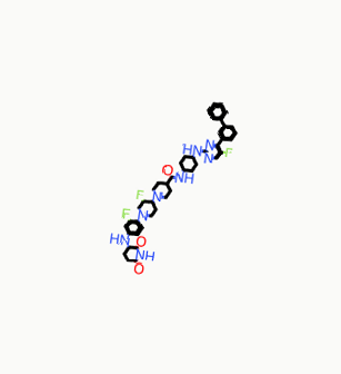 O=C1CCC(Nc2ccc(N3CCC(N4CCC(C(=O)NC5CCC(Nc6ncc(F)c(-c7cccc(-c8ccccc8)c7)n6)CC5)CC4)C(F)C3)c(F)c2)C(=O)N1